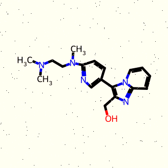 CN(C)CCN(C)c1ccc(-c2c(CO)nc3ccccn23)cn1